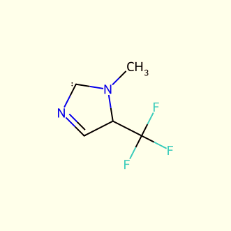 CN1[C]N=CC1C(F)(F)F